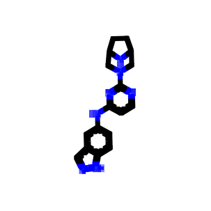 c1cc(Nc2ccc3[nH]ncc3c2)nc(N2CC3CCC(C2)N3)n1